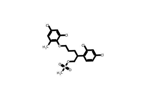 Cc1cc(Cl)cc(Cl)c1OCCCC(COS(C)(=O)=O)c1ccc(Cl)cc1Cl